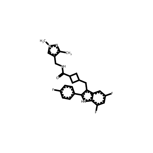 Cc1nn(C)cc1CNC(=O)C1CC(Cc2c(-c3ccc(F)cc3)[nH]c3c(F)cc(F)cc23)C1